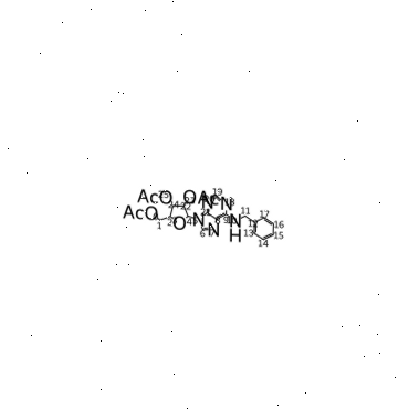 CC(=O)OCC1OC(n2cnc3c(NCc4ccccc4)ncnc32)C(OC(C)=O)C1OC(C)=O